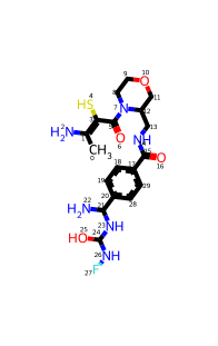 C/C(N)=C(/S)C(=O)N1CCOCC1CNC(=O)c1ccc(C(N)NC(O)NF)cc1